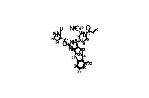 C=CC(=O)N1CCN(c2nc(OC[C@@H]3CCCN3C)nc3c2CN(Cc2c(C)cccc2C)C3)C[C@@H]1CC#N